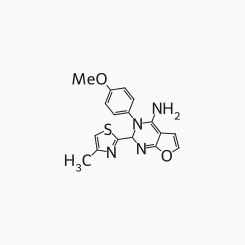 COc1ccc(N2C(N)=c3ccoc3=NC2c2nc(C)cs2)cc1